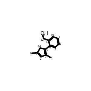 CC1=CC(C)=C(c2ccccc2CO)C1